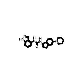 O=C(Nc1cccc2[nH]ncc12)N[C@H]1CCc2cc(N3CCCCC3)ccc21